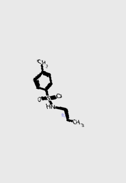 C/C=C/NS(=O)(=O)c1ccc(C)cc1